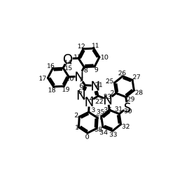 c1ccc(-n2nc(N3c4ccccc4Oc4ccccc43)nc2N2c3ccccc3Sc3ccccc32)cc1